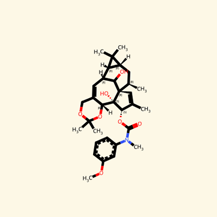 COc1cccc(N(C)C(=O)O[C@H]2C(C)=C[C@]34C(O)[C@@H](C=C5COC(C)(C)O[C@H]5[C@]23O)[C@H]2[C@@H](C[C@H]4C)C2(C)C)c1